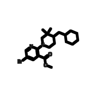 COC(=O)c1cc(Br)cnc1N1CCC(CC2CCCCC2)C(C)(C)C1